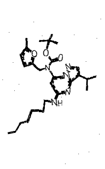 CCCCCCCNc1cc(N(Cc2ccc(C)o2)C(=O)OC(C)(C)C)n2ncc(C(C)C)c2n1